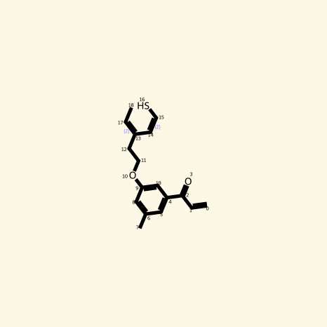 C=CC(=O)c1cc(C)cc(OCCC(/C=C\S)=C/C)c1